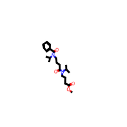 COC(=O)CCCN(C(=O)CCCN(C(=O)c1ccccc1)C(C)C)C(C)C